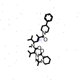 C/C(=C\C(C(C)C)N(C)C(=O)[C@@H](NC(=O)[C@H]1CCCCN1C(C)C)C(C)C)C(=O)N1CCC(c2ccccc2)CC1